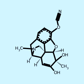 CN1CC[C@]23c4c5c[c]c(OC#N)c4O[C@H]2[C@@](C)(O)C(O)=C[C@H]3[C@H]1C5